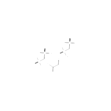 CC(N)CN.O=P(O)(O)CP(=O)(O)O.O=P(O)(O)CP(=O)(O)O